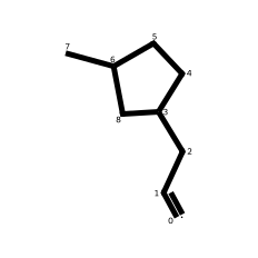 [CH]=CCC1CCC(C)C1